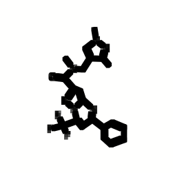 Cc1nn(C)cc1CN(C)C(=O)c1cc2nc(-c3ccccc3)cc(C(F)(F)F)n2n1